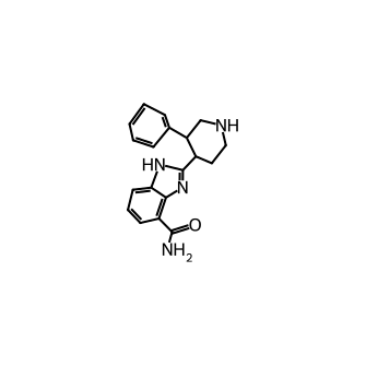 NC(=O)c1cccc2[nH]c(C3CCNCC3c3ccccc3)nc12